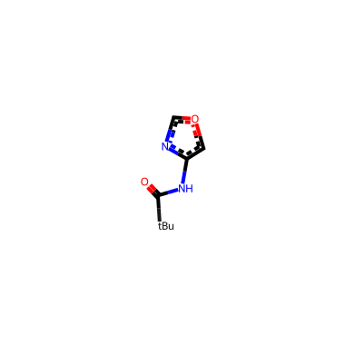 CC(C)(C)C(=O)Nc1cocn1